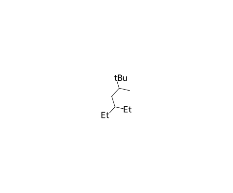 CCC(CC)CC(C)C(C)(C)C